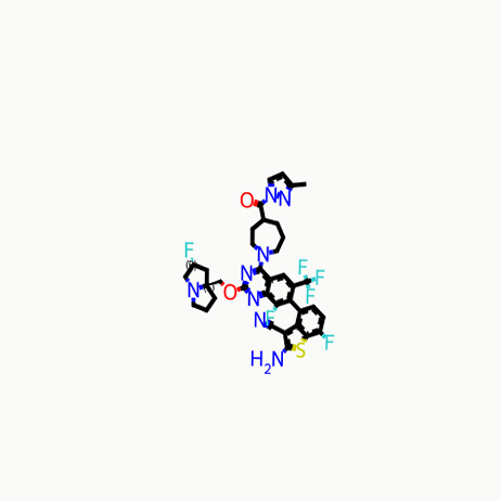 Cc1ccn(C(=O)C2CCCN(c3nc(OC[C@@]45CCCN4C[C@H](F)C5)nc4c(F)c(-c5ccc(F)c6sc(N)c(C#N)c56)c(C(F)(F)F)cc34)CC2)n1